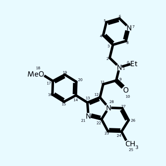 CCN(Cc1cccnc1)C(=O)Cc1c(-c2ccc(OC)cc2)nc2cc(C)ccn12